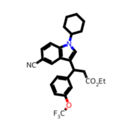 CCOC(=O)CC(c1cccc(OC(F)(F)F)c1)c1cn(C2CCCCC2)c2ccc(C#N)cc12